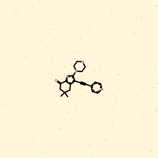 CC1(C)CC(=O)c2sc(N3CCOCC3)c(C#Cc3ccncc3)c2C1